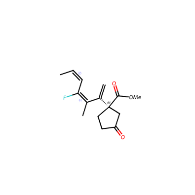 C=C(/C(C)=C(F)\C=C/C)[C@@]1(C(=O)OC)CCC(=O)C1